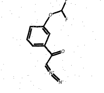 [N-]=[N+]=CC(=O)c1cccc(OC(F)F)c1